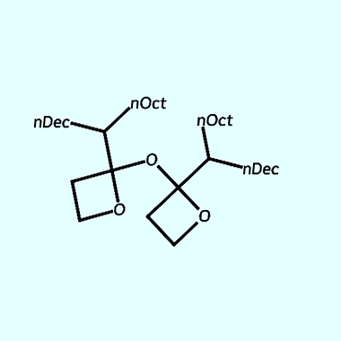 CCCCCCCCCCC(CCCCCCCC)C1(OC2(C(CCCCCCCC)CCCCCCCCCC)CCO2)CCO1